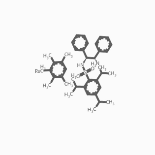 CC(C)c1cc(C(C)C)c(S(=O)(=O)N[C@@H](c2ccccc2)[C@@H](N)c2ccccc2)c(C(C)C)c1.Cc1cc(C)c(C)c(C)c1C.[Ru]